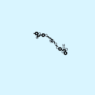 Cc1ccc2oc(-c3ccc(OCCCCc4cn(CCOCCOc5ccc(-c6oc7ccccc7c(=O)c6O)cc5)nn4)cc3)cc(=O)c2c1